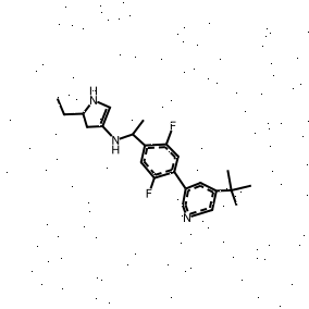 CCC1CC(NC(C)c2cc(F)c(-c3cncc(C(C)(C)C)c3)cc2F)=CN1